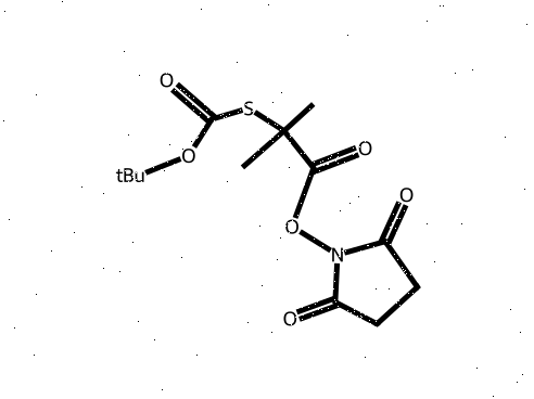 CC(C)(C)OC(=O)SC(C)(C)C(=O)ON1C(=O)CCC1=O